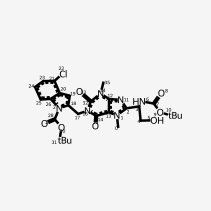 Cn1c(C(CO)NC(=O)OC(C)(C)C)nc2c1c(=O)n(Cc1cc3c(Cl)cccc3n1C(=O)OC(C)(C)C)c(=O)n2C